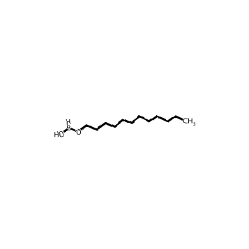 CCCCCCCCCCCCOBO